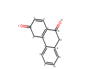 O=C1C=CC2=C(C1)c1ccccc1CC2=O